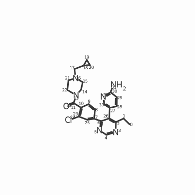 CCc1ncnc(-c2ccc(C(=O)N3CCN(CC4CC4)CC3)c(Cl)c2)c1-c1ccc(N)nc1